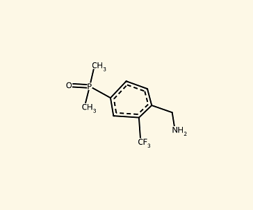 CP(C)(=O)c1ccc(CN)c(C(F)(F)F)c1